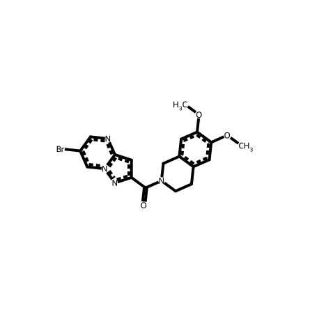 COc1cc2c(cc1OC)CN(C(=O)c1cc3ncc(Br)cn3n1)CC2